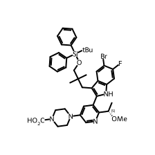 CO[C@@H](C)c1ncc(N2CCN(C(=O)O)CC2)cc1-c1[nH]c2cc(F)c(Br)cc2c1CC(C)(C)CO[Si](c1ccccc1)(c1ccccc1)C(C)(C)C